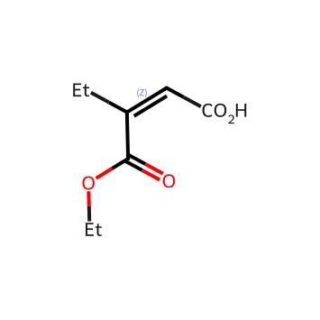 CCOC(=O)/C(=C\C(=O)O)CC